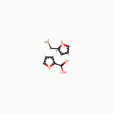 O=C(O)c1ccco1.SCc1ccco1